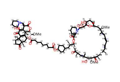 COC[C@H]1OC(=O)/C(=C/N2CCCCC2)C2=C(O)C(=O)C3=C([C@H](OC(=O)CCCCCCC(=O)OC4CCC(C[C@@H](C)[C@@H]5CC(=O)[C@H](C)/C=C(\C)[C@@H](O)[C@@H](OC)C(=O)[C@H](C)C[C@H](C)/C=C/C=C/C=C(\C)[C@@H](OC)C[C@@H]6CC[C@@H](C)[C@@](O)(O6)C(=O)C(=O)N6CCCC[C@H]6C(=O)O5)CC4)C[C@]4(C)C(=O)CC[C@@H]34)[C@]21C